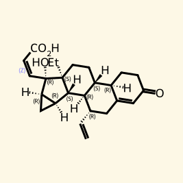 C=C[C@H]1CC2=CC(=O)CC[C@@H]2[C@H]2CC[C@@]3(CC)[C@@H]([C@H]4C[C@H]4[C@@]3(O)/C=C\C(=O)O)[C@@H]21